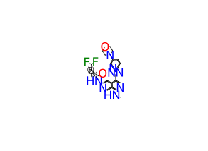 CNc1ncc(-c2nc3ccc(N4CCOCC4)cn3n2)c2cc(NC(=O)[C@H]3C[C@H]3C(F)F)ncc12